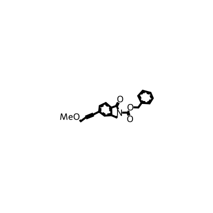 COCC#Cc1ccc2c(c1)CN(C(=O)OCc1ccccc1)C2=O